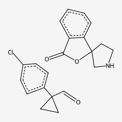 O=C1OC2(CCNC2)c2ccccc21.O=CC1(c2ccc(Cl)cc2)CC1